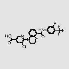 O=C(O)c1cnc(N2CCOc3c(C(=O)Nc4ccc(C(F)(F)F)c(F)c4)cccc32)c(Cl)c1